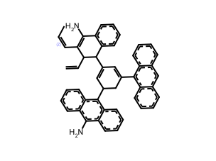 C=CC1C(/C=C\C)=C(N)c2ccccc2C1C1=CC(c2c3ccccc3c(N)c3ccccc23)CC(c2c3ccccc3cc3ccccc23)=C1